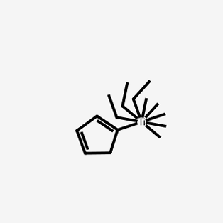 C[CH2][Ti]([CH3])([CH3])([CH3])([CH3])([CH3])([CH2]C)([CH2]C)[C]1=CC=CC1